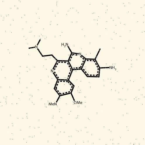 CNc1cc2nc(CCN(C)C)c3c(N)nc4c(C)c(N)ccc4c3c2cc1OC